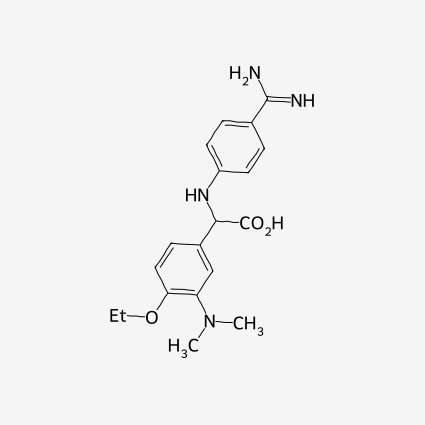 CCOc1ccc(C(Nc2ccc(C(=N)N)cc2)C(=O)O)cc1N(C)C